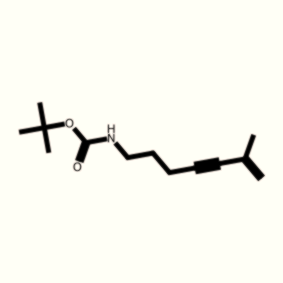 C=C(C)C#CCCCNC(=O)OC(C)(C)C